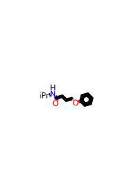 CC(C)NC(=O)CCCOc1ccccc1